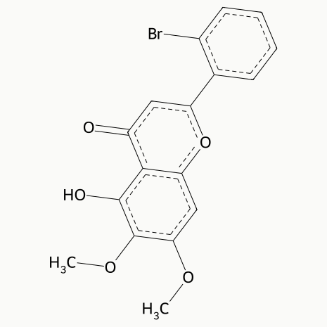 COc1cc2oc(-c3ccccc3Br)cc(=O)c2c(O)c1OC